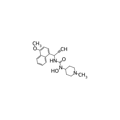 C#CC(NC(=O)N(O)C1CCN(C)CC1)c1ccc(OC)c2ccccc12